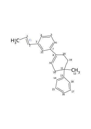 C/C=C/c1cccc(C2=CCC(C)(c3ccccc3)CC2)c1